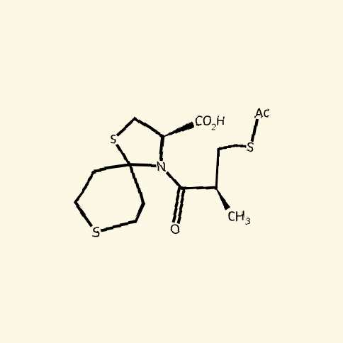 CC(=O)SC[C@@H](C)C(=O)N1[C@H](C(=O)O)CSC12CCSCC2